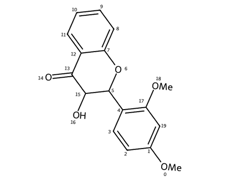 COc1ccc(C2Oc3ccccc3C(=O)C2O)c(OC)c1